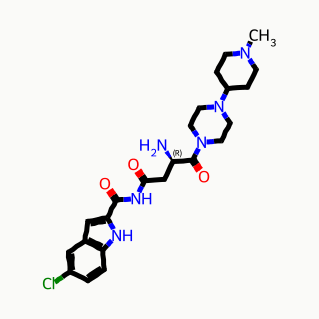 CN1CCC(N2CCN(C(=O)[C@H](N)CC(=O)NC(=O)c3cc4cc(Cl)ccc4[nH]3)CC2)CC1